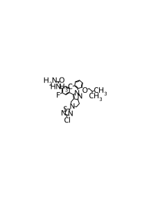 Cc1cccc(OCC(C)C)c1-n1nc2c(c1-c1ccc(NC(N)=O)c(F)c1)CN(c1nc(Cl)ns1)CC2